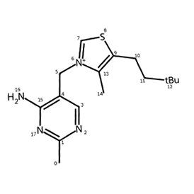 Cc1ncc(C[n+]2csc(CCC(C)(C)C)c2C)c(N)n1